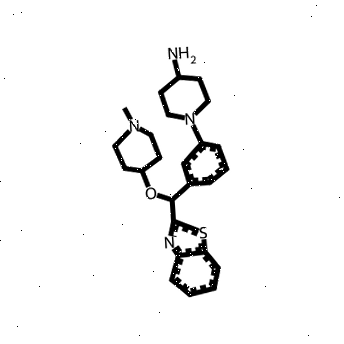 CN1CCC(OC(c2cccc(N3CCC(N)CC3)c2)c2nc3ccccc3s2)CC1